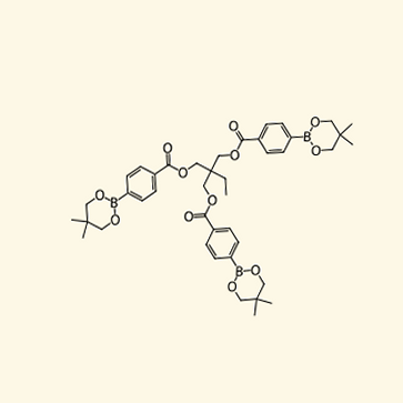 CCC(COC(=O)c1ccc(B2OCC(C)(C)CO2)cc1)(COC(=O)c1ccc(B2OCC(C)(C)CO2)cc1)COC(=O)c1ccc(B2OCC(C)(C)CO2)cc1